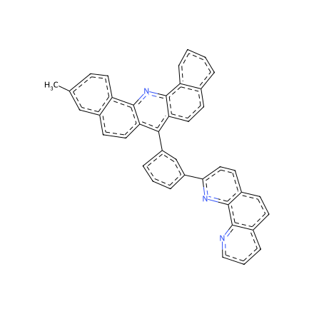 Cc1ccc2c(ccc3c(-c4cccc(-c5ccc6ccc7cccnc7c6n5)c4)c4ccc5ccccc5c4nc32)c1